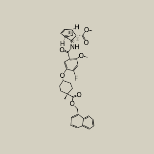 COC(=O)[C@@H]1[C@H](NC(=O)c2cc(O[C@H]3CC[C@@](C)(C(=O)OCc4cccc5ccccc45)CC3)c(F)cc2OC)[C@H]2C=C[C@@H]1C2